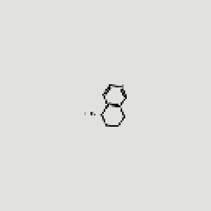 O[C@H]1CCCc2cnccc21